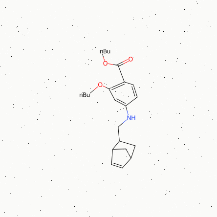 CCCCOC(=O)c1ccc(NCC2CC3C=CC2C3)cc1OCCCC